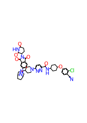 N#Cc1ccc(OC2CCC(NC(=O)c3ccc(N4CCC(CN5C6CCC5CN(c5ccc7c(c5)C(=O)N(C5CCC(=O)NC5=O)C7=O)C6)CC4)nn3)CC2)cc1Cl